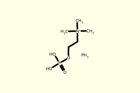 C[N+](C)(C)CCOP(=O)(O)O.P